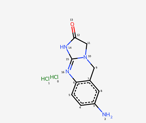 Cl.Cl.Nc1ccc2c(c1)CN1CC(=O)NC1=N2